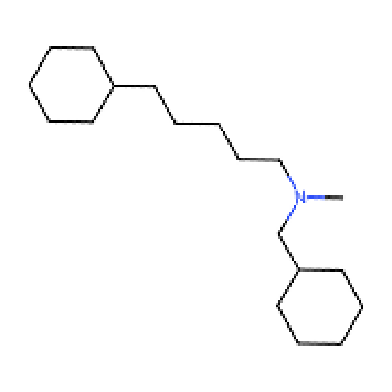 CN(CCCCCC1CCCCC1)CC1CCCCC1